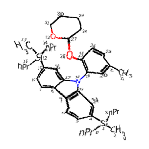 CCC[Si](C)(CCC)c1ccc2c3ccc([Si](C)(CCC)CCC)cc3n(-c3cc(C)ccc3OC3CCCCO3)c2c1